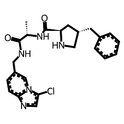 C[C@H](NC(=O)[C@H]1C[C@H](Cc2ccccc2)CN1)C(=O)NCc1ccc2ncc(Cl)n2c1